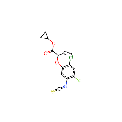 CC(Oc1cc(N=C=S)c(F)cc1Cl)C(=O)OC1CC1